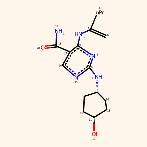 C=C(CCC)Nc1nc(N[C@H]2CC[C@H](O)CC2)ncc1C(N)=O